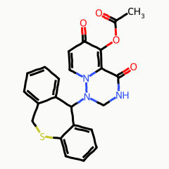 CC(=O)Oc1c2n(ccc1=O)N(C1c3ccccc3CSc3ccccc31)CNC2=O